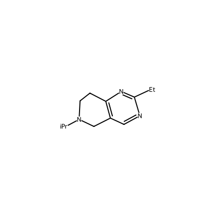 CCc1ncc2c(n1)CCN(C(C)C)C2